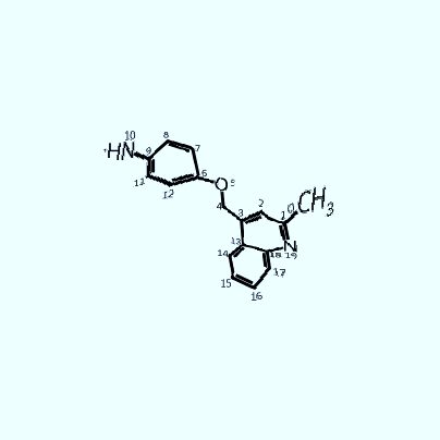 Cc1cc(COc2ccc([NH])cc2)c2ccccc2n1